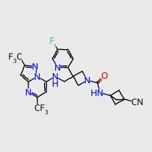 N#CC12CC(NC(=O)N3CC(CNc4cc(C(F)(F)F)nc5cc(C(F)(F)F)nn45)(c4ccc(F)cn4)C3)(C1)C2